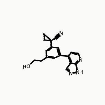 N#CC1(c2cc(CCO)cc(-c3ccnc4[nH]ncc34)c2)CC1